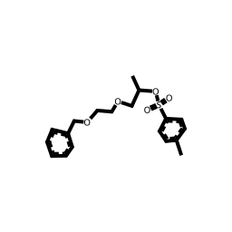 Cc1ccc(S(=O)(=O)OC(C)COCCOCc2ccccc2)cc1